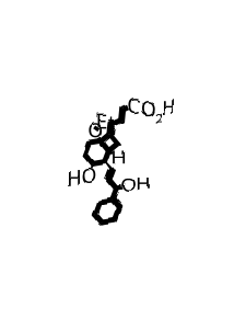 CCO[C@]12CC[C@@H](O)[C@H](/C=C/C(O)C3CCCCC3)[C@H]1CC2=CCCC(=O)O